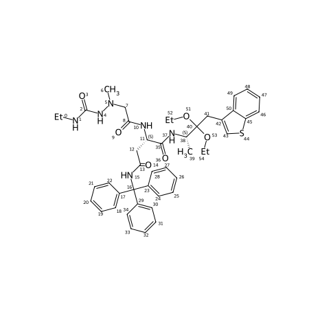 CCNC(=O)NN(C)CC(=O)N[C@@H](CC(=O)NC(c1ccccc1)(c1ccccc1)c1ccccc1)C(=O)N[C@@H](C)C(Cc1csc2ccccc12)(OCC)OCC